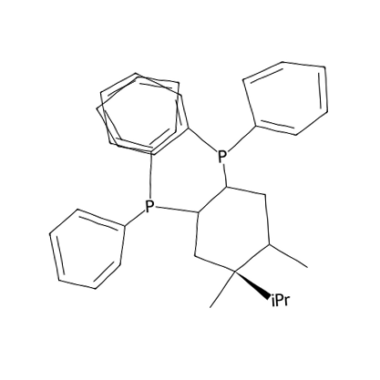 CC(C)[C@@]1(C)CC(P(c2ccccc2)c2ccccc2)C(P(c2ccccc2)c2ccccc2)CC1C